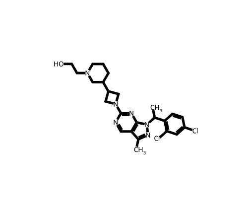 Cc1nn(C(C)c2ccc(Cl)cc2Cl)c2nc(N3CC(C4CCCN(CCO)C4)C3)ncc12